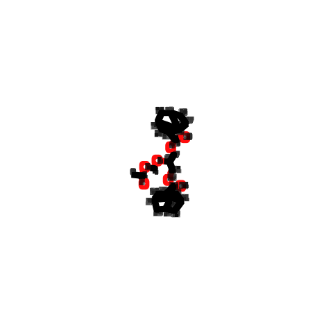 CC(=O)OCOC(COC(=O)C12CC3CC(CC(C3)C1)C2)COC(=O)C12CC3CC(CC(C3)C1)C2